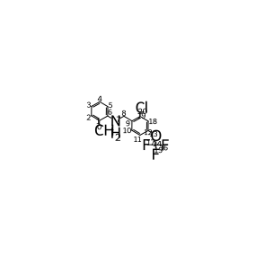 [CH2]c1ccccc1NCc1ccc(OC(F)(F)F)cc1Cl